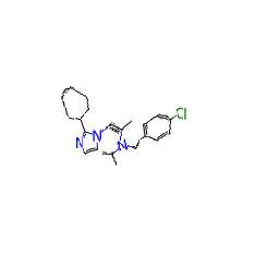 C=C(C)N(Cc1ccc(Cl)cc1)/C(C)=C\n1ccnc1C1CCCCC1